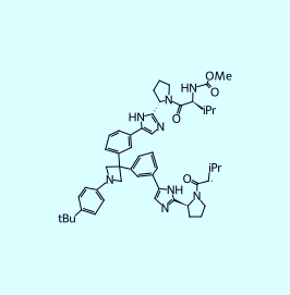 COC(=O)N[C@H](C(=O)N1CCC[C@H]1c1ncc(-c2cccc(C3(c4cccc(-c5cnc([C@@H]6CCCN6C(=O)[CH]C(C)C)[nH]5)c4)CN(c4ccc(C(C)(C)C)cc4)C3)c2)[nH]1)C(C)C